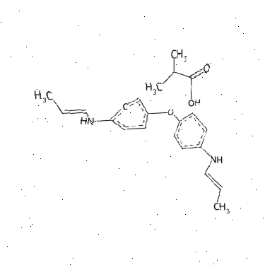 CC(C)C(=O)O.CC=CNc1ccc(Oc2ccc(NC=CC)cc2)cc1